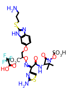 CC1(C)[C@H](NC(=O)/C(=N\O[C@H](COc2ccc3nc(SCCCN)[nH]c3c2)C(=O)O)c2csc(N)n2)C(=O)N1OS(=O)(=O)O.O=C(O)C(F)(F)F